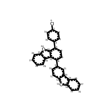 Clc1ccc(-c2ccc(-c3ccc4oc5ccccc5c4c3)c3c2oc2ccccc23)cc1